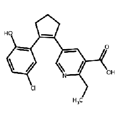 CCc1ncc(C2=C(c3cc(Cl)ccc3O)CCC2)cc1C(=O)O